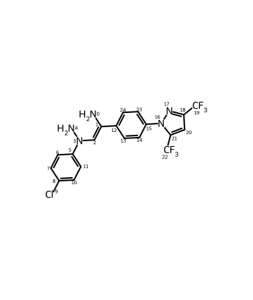 N/C(=C\N(N)c1ccc(Cl)cc1)c1ccc(-n2nc(C(F)(F)F)cc2C(F)(F)F)cc1